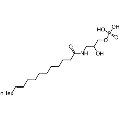 CCCCCCC=CCCCCCCCCC(=O)NCC(O)COP(=O)(O)O